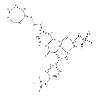 CS(=O)(=O)Oc1ccc(-c2sc3cc(OS(C)(=O)=O)ccc3c2C(=O)c2ccc(OCCN3CCCCCC3)cc2)cc1